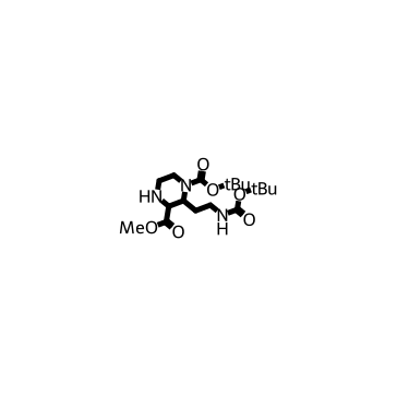 COC(=O)C1NCCN(C(=O)OC(C)(C)C)C1CCNC(=O)OC(C)(C)C